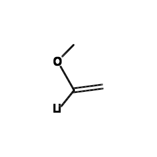 [Li][C](=C)OC